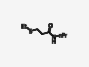 CCCNC(=O)CCSCC